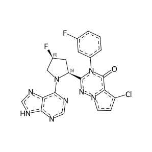 O=c1c2c(Cl)ccn2nc([C@@H]2C[C@H](F)CN2c2ncnc3[nH]cnc23)n1-c1cccc(F)c1